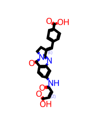 O=C(O)/C=C\C(=O)Nc1ccc2c(=O)n3c(nc2c1)/C(=C/c1ccc(C(=O)O)cc1)CC3